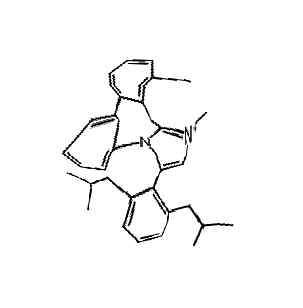 Cc1cccc2c3ccccc3n3c(-c4c(CC(C)C)cccc4CC(C)C)c[n+](C)c3c12